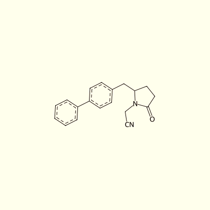 N#CCN1C(=O)CCC1Cc1ccc(-c2ccccc2)cc1